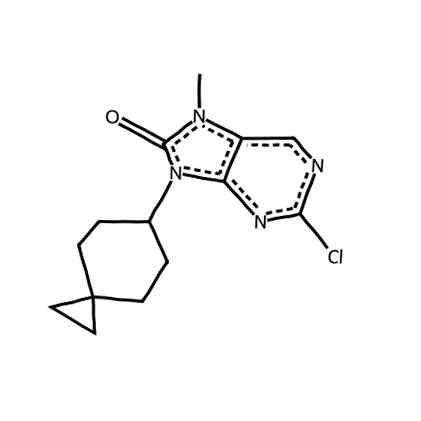 Cn1c(=O)n(C2CCC3(CC2)CC3)c2nc(Cl)ncc21